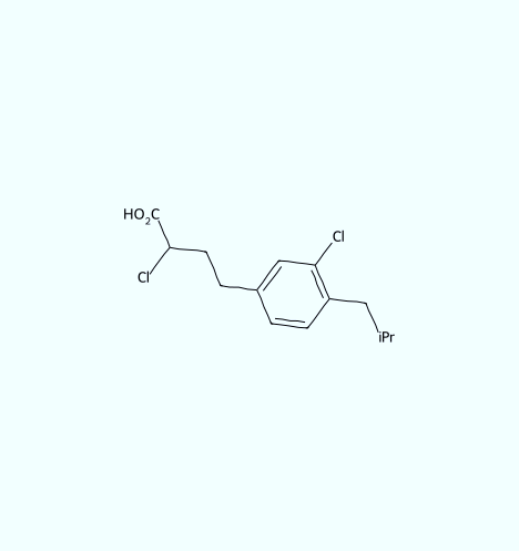 CC(C)Cc1ccc(CCC(Cl)C(=O)O)cc1Cl